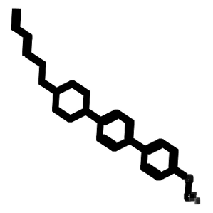 C=C/C=C/CCC1CCC(c2ccc(-c3ccc(OC(F)(F)F)cc3)cc2)CC1